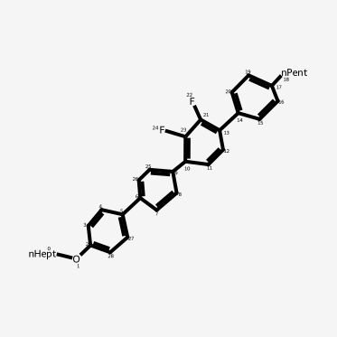 CCCCCCCOc1ccc(-c2ccc(-c3ccc(-c4ccc(CCCCC)cc4)c(F)c3F)cc2)cc1